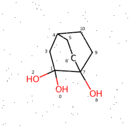 OC1(O)CC2CCC1(O)CC2